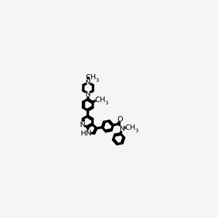 Cc1cc(-c2cnc3[nH]cc(-c4ccc(C(=O)N(C)c5ccccc5)cc4)c3c2)ccc1N1CCN(C)CC1